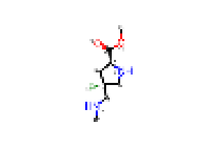 CNC[C@]1(F)CN[C@H](C(=O)OC)C1